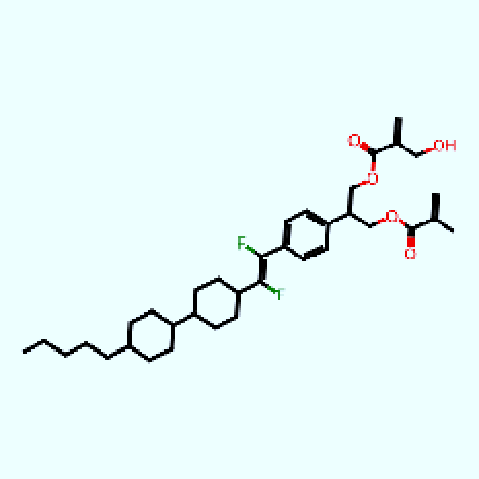 C=C(C)C(=O)OCC(COC(=O)C(=C)CO)c1ccc(/C(F)=C(\F)C2CCC(C3CCC(CCCCC)CC3)CC2)cc1